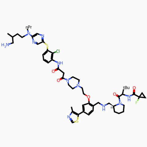 CCCN(CCC(C)CN)c1cnc(Sc2cccc(NC(=O)CC(=O)N3CCN(CCOc4cc(-c5scnc5C)ccc4CNC[C@@H]4CCCCN4C(=O)C(NC(=O)C4(F)CC4)C(C)(C)C)CC3)c2Cl)cn1